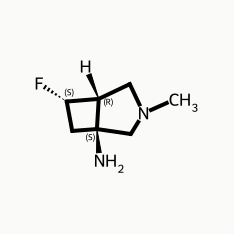 CN1C[C@H]2[C@@H](F)C[C@@]2(N)C1